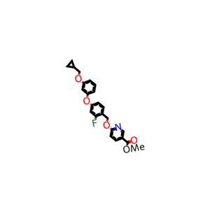 COC(=O)c1ccc(OCc2ccc(Oc3cccc(OCC4CC4)c3)cc2F)nc1